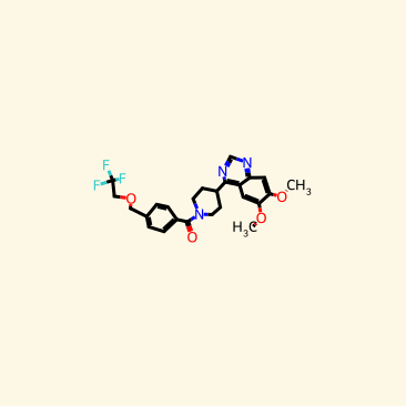 COc1cc2ncnc(C3CCN(C(=O)c4ccc(COCC(F)(F)F)cc4)CC3)c2cc1OC